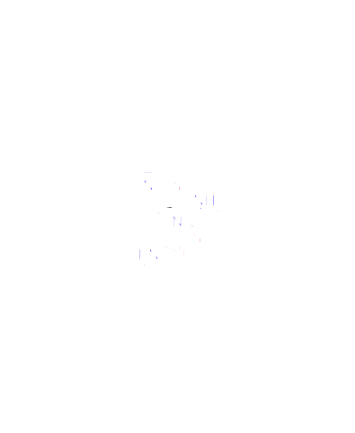 CC(C)C[C@H](N)C(=O)N1C[C@]2(CC1C(N)=O)C(=O)Nc1ccccc12